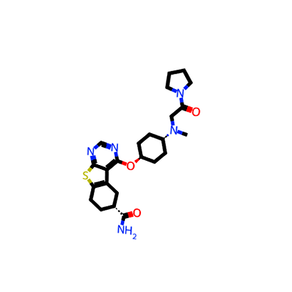 CN(CC(=O)N1CCCC1)[C@H]1CC[C@H](Oc2ncnc3sc4c(c23)C[C@H](C(N)=O)CC4)CC1